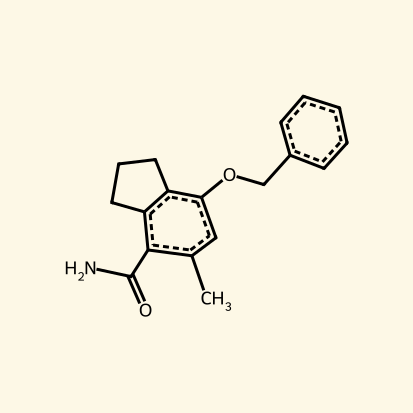 Cc1cc(OCc2ccccc2)c2c(c1C(N)=O)CCC2